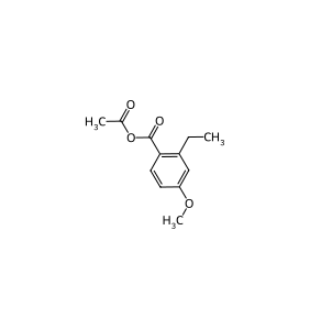 CCc1cc(OC)ccc1C(=O)OC(C)=O